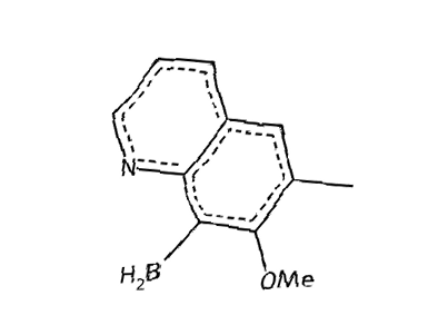 Bc1c(OC)c(C)cc2cccnc12